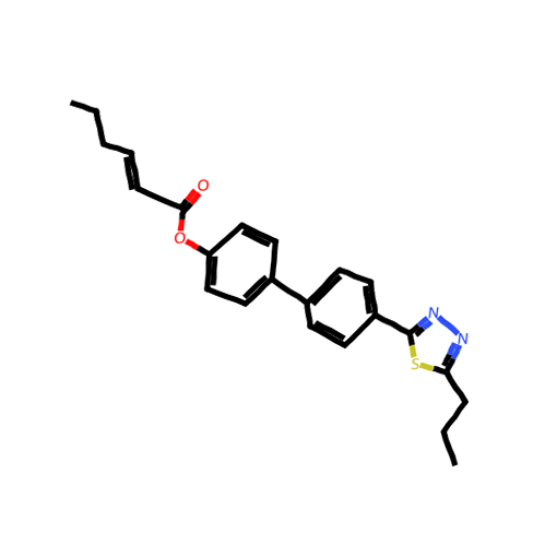 CCCC=CC(=O)Oc1ccc(-c2ccc(-c3nnc(CCC)s3)cc2)cc1